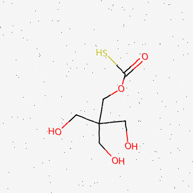 O=C(S)OCC(CO)(CO)CO